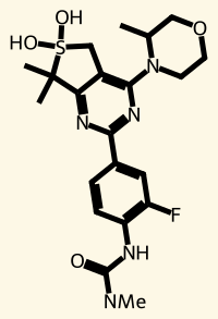 CNC(=O)Nc1ccc(-c2nc(N3CCOCC3C)c3c(n2)C(C)(C)S(O)(O)C3)cc1F